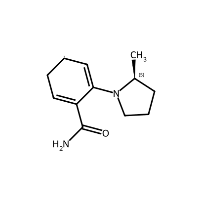 C[C@H]1CCCN1C1=C[CH]CC=C1C(N)=O